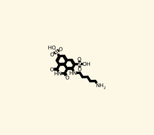 NCCCCCNc1c(S(=O)(=O)O)cc2cc(S(=O)(=O)O)cc3c2c1C(=O)NC3=O